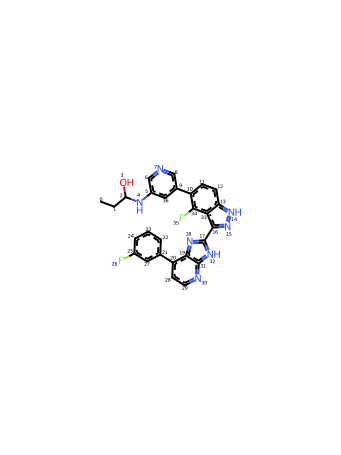 CCC(O)Nc1cncc(-c2ccc3[nH]nc(-c4nc5c(-c6cccc(F)c6)ccnc5[nH]4)c3c2F)c1